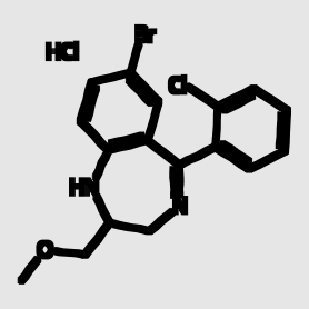 COCC1CN=C(c2ccccc2Cl)c2cc(Br)ccc2N1.Cl